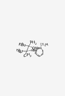 CCCCC(C)(CCCC)C(P)(CCCC)OC.O=C(O)c1ccccc1